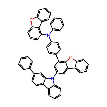 c1ccc(-c2ccc3c4ccccc4n(-c4cc(-c5ccc(N(c6ccccc6)c6cccc7oc8ccccc8c67)cc5)c5oc6ccccc6c5c4)c3c2)cc1